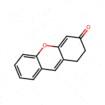 O=C1C=C2Oc3ccccc3C=C2CC1